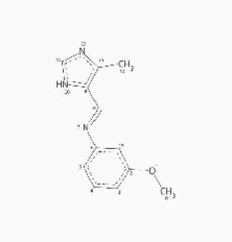 COc1cccc(/N=C/c2[nH]cnc2C)c1